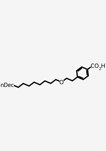 CCCCCCCCCCCCCCCCCCOCCc1ccc(C(=O)O)cc1